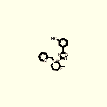 C[C@H]1CCCN(Cc2ccccn2)[C@@H]1c1nc(-c2cccc(C#N)c2)no1